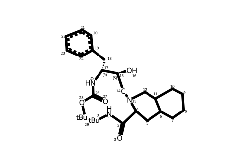 CC(C)(C)NC(=O)C1CC2CCCCC2CN1C[C@H](O)[C@@H](Cc1ccccc1)NC(=O)OC(C)(C)C